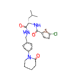 CC(C)C[C@H](NC(=O)c1ccc(Cl)s1)C(=O)NCc1ccc(N2CCCCC2=O)cc1